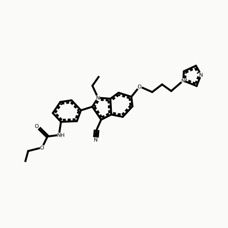 CCOC(=O)Nc1cccc(-c2c(C#N)c3ccc(OCCCn4ccnc4)cc3n2CC)c1